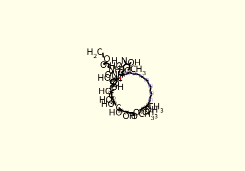 C=CCOC(=O)CCNC(=O)N[C@H]1[C@@H]2C[C@@H](OC3OC(C)C(O)C(N)C3O)/C=C/C=C/C=C/C=C/C=C/C=C/C=C/[C@H](C)[C@@H](O)[C@@H](C)[C@H](C)OC(=O)C[C@H](O)C[C@H](O)CC[C@@H](O)[C@H](O)C[C@H](O)C[C@](O)(C[C@@H]1O)O2